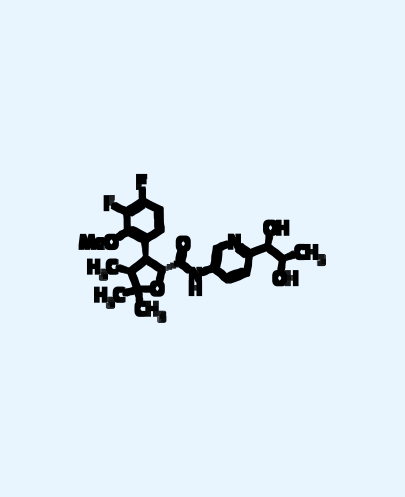 COc1c([C@H]2[C@H](C(=O)Nc3ccc([C@@H](O)[C@@H](C)O)nc3)OC(C)(C)[C@H]2C)ccc(F)c1F